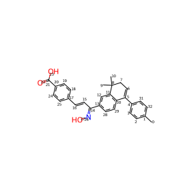 Cc1ccc(C2=CCC(C)(C)c3cc(C(/C=C/c4ccc(C(=O)O)cc4)=NO)ccc32)cc1